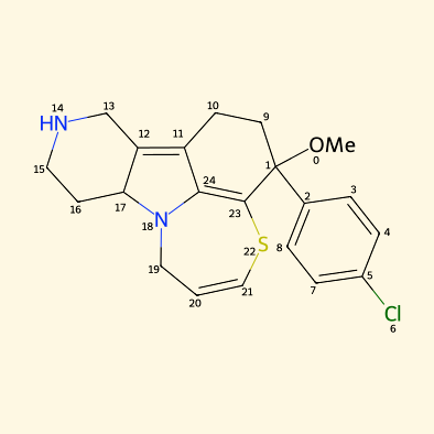 COC1(c2ccc(Cl)cc2)CCC2=C3CNCCC3N3CC=CSC1=C23